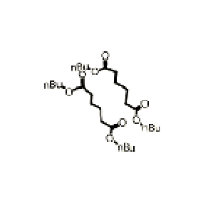 CCCCOC(=O)CCCCC(=O)OCCCC.CCCCOC(=O)CCCCC(=O)OCCCC